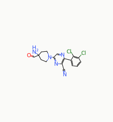 N#Cc1nc(N2CCC(N)(C=O)CC2)cnc1-c1cccc(Cl)c1Cl